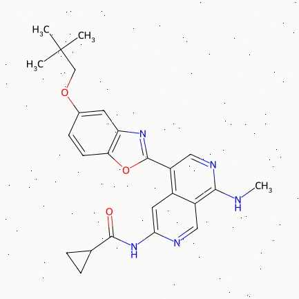 CNc1ncc(-c2nc3cc(OCC(C)(C)C)ccc3o2)c2cc(NC(=O)C3CC3)ncc12